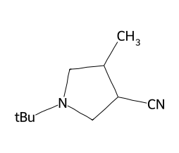 CC1CN(C(C)(C)C)CC1C#N